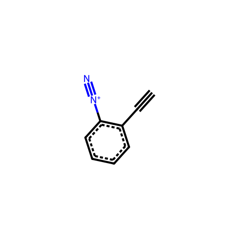 C#Cc1ccccc1[N+]#N